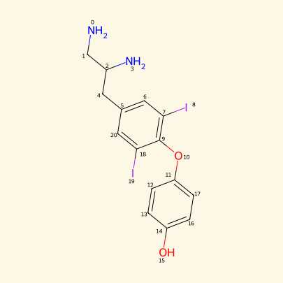 NCC(N)Cc1cc(I)c(Oc2ccc(O)cc2)c(I)c1